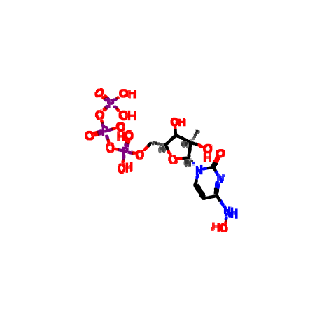 C[C@@]1(O)C(O)[C@@H](COP(=O)(O)OP(=O)(O)OP(=O)(O)O)O[C@H]1n1ccc(NO)nc1=O